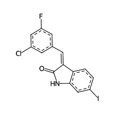 O=C1Nc2cc(I)ccc2C1=Cc1cc(F)cc(Cl)c1